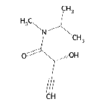 C#C[C@@H](O)C(=O)N(C)C(C)C